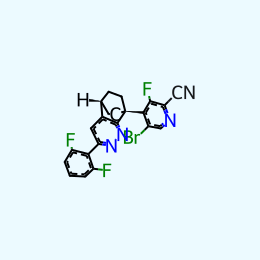 N#Cc1ncc(Br)c([C@]23CC[C@H](CC2)c2cc(-c4c(F)cccc4F)nnc23)c1F